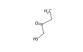 CCC(=O)[CH]S